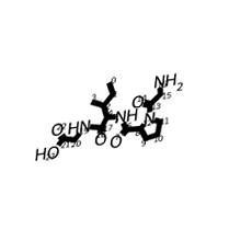 CCC(C)C(NC(=O)C1CCCN1C(=O)CN)C(=O)NCC(=O)O